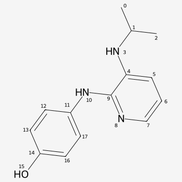 CC(C)Nc1cccnc1Nc1ccc(O)cc1